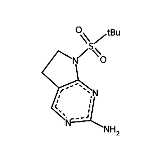 CC(C)(C)S(=O)(=O)N1CCc2cnc(N)nc21